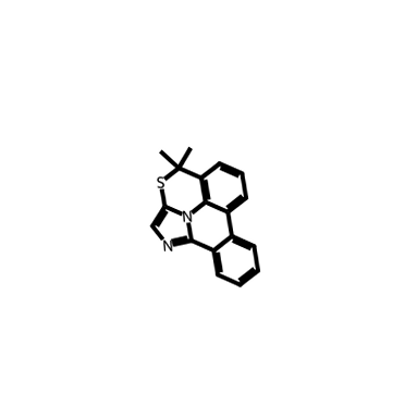 CC1(C)Sc2cnc3c4ccccc4c4cccc1c4n23